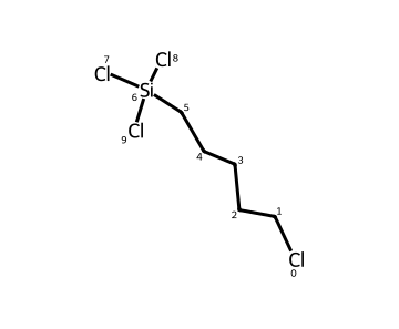 ClCCCCC[Si](Cl)(Cl)Cl